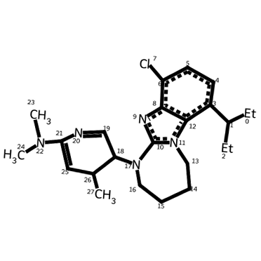 CCC(CC)c1ccc(Cl)c2nc3n(c12)CCCCN3C1C=NC(N(C)C)=CC1C